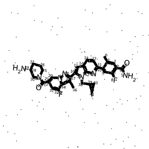 Cc1cc(C(N)=O)c(F)cc1-c1ccc2cc(-c3nn4cc(C(=O)N5CCC[C@@H](N)C5)cc(F)c4c3C)n(CC3CC3)c2n1